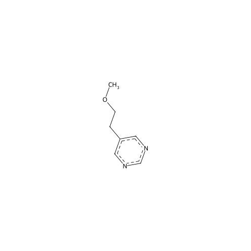 COCCc1cncnc1